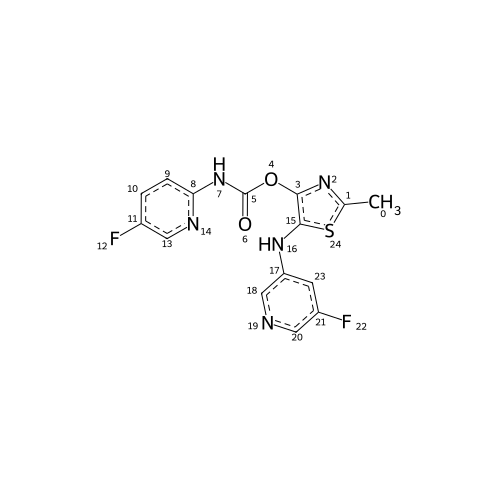 Cc1nc(OC(=O)Nc2ccc(F)cn2)c(Nc2cncc(F)c2)s1